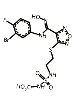 O=C(O)NS(=O)(=O)NCCSc1nonc1/C(=N/O)Nc1ccc(F)c(Br)c1